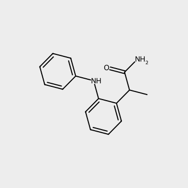 CC(C(N)=O)c1ccccc1Nc1ccccc1